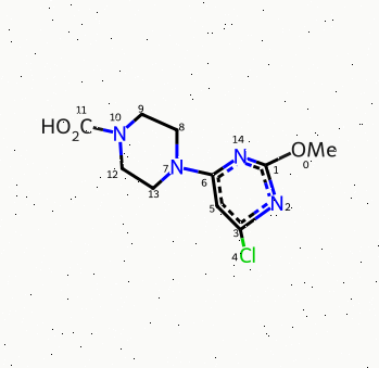 COc1nc(Cl)cc(N2CCN(C(=O)O)CC2)n1